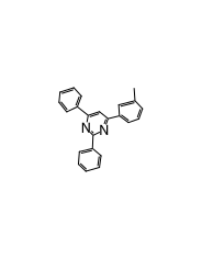 Cc1cccc(-c2cc(-c3ccccc3)nc(-c3ccccc3)n2)c1